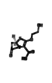 O=C(O)C1=C(OCCO)S[C@@H]2CC(=O)N12